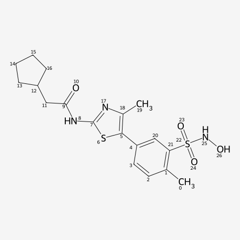 Cc1ccc(-c2sc(NC(=O)CC3CCCC3)nc2C)cc1S(=O)(=O)NO